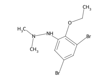 CCOc1c(Br)cc(Br)cc1NN(C)C